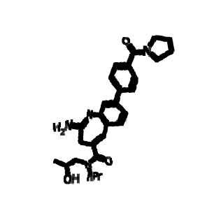 CCCN(CC(C)O)C(=O)C1=Cc2ccc(-c3ccc(C(=O)N4CCCC4)cc3)cc2N=C(N)C1